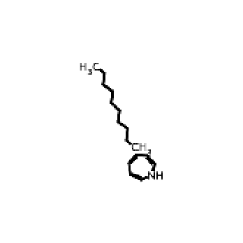 C1=CC=CNC=C1.CCCCCCCCCC